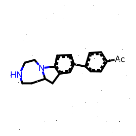 CC(=O)c1ccc(-c2ccc3c(c2)CC2CCNCCN32)cc1